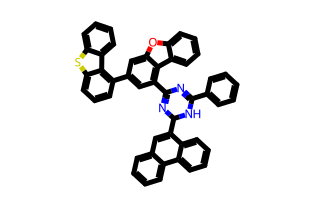 c1ccc(C2=NC(c3cc(-c4cccc5sc6ccccc6c45)cc4oc5ccccc5c34)=NC(c3cc4ccccc4c4ccccc34)N2)cc1